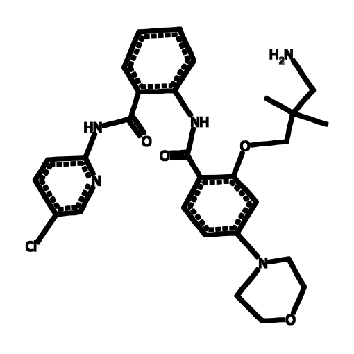 CC(C)(CN)COc1cc(N2CCOCC2)ccc1C(=O)Nc1ccccc1C(=O)Nc1ccc(Cl)cn1